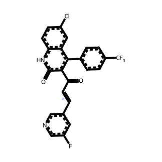 O=C(/C=C/c1cncc(F)c1)c1c(-c2ccc(C(F)(F)F)cc2)c2cc(Cl)ccc2[nH]c1=O